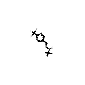 CC(C)(C)[S@@+]([O-])N=Cc1cnc(C(F)(F)F)nc1